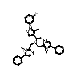 Cc1c(C(C)N(Cc2ncc(-c3ccccc3)n2C)Cc2ncc(-c3ccccc3)n2C)cnn1-c1cccc(F)c1